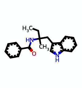 CCC(C)(Cc1c[nH]c2ccccc12)NC(=O)c1ccccc1